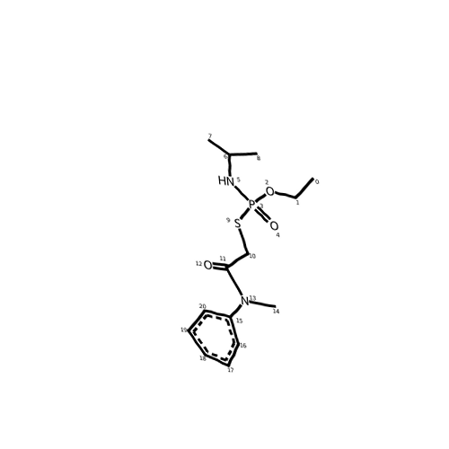 CCOP(=O)(NC(C)C)SCC(=O)N(C)c1ccccc1